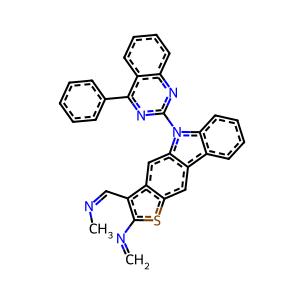 C=Nc1sc2cc3c4ccccc4n(-c4nc(-c5ccccc5)c5ccccc5n4)c3cc2c1/C=N\C